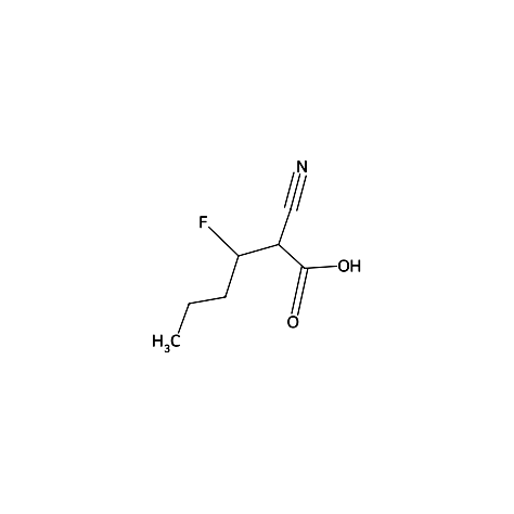 CCCC(F)C(C#N)C(=O)O